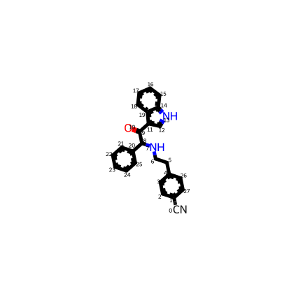 N#Cc1ccc(CCNC(C(=O)c2c[nH]c3ccccc23)c2ccccc2)cc1